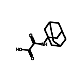 O=C(O)C(=O)NC12CC3CC(CC(C3)C1)C2